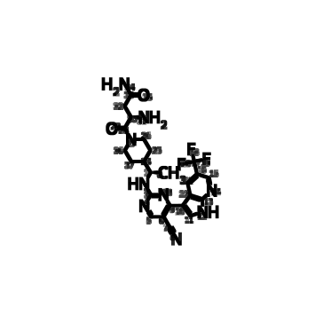 C[C@@H](Nc1ncc(C#N)c(-c2c[nH]c3ncc(C(F)(F)F)cc23)n1)C1CCN(C(=O)[C@H](N)CC(N)=O)CC1